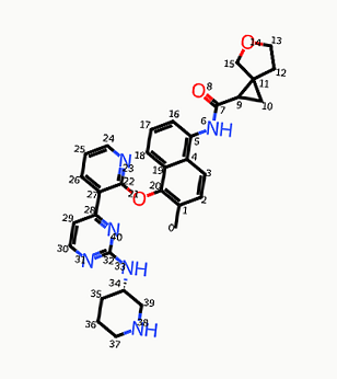 Cc1ccc2c(NC(=O)C3CC34CCOC4)cccc2c1Oc1ncccc1-c1ccnc(N[C@H]2CCCNC2)n1